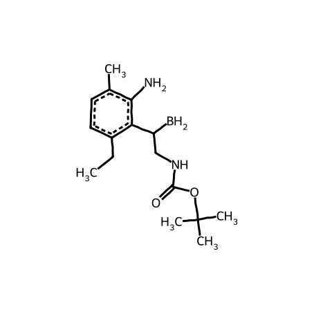 BC(CNC(=O)OC(C)(C)C)c1c(CC)ccc(C)c1N